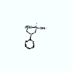 CO[Si](C)(CC(CCl)c1ccccc1)OC